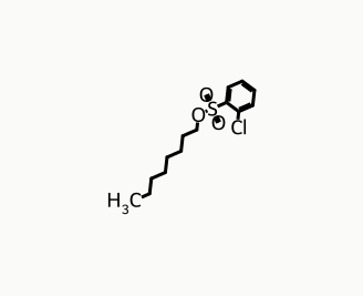 CCCCCCCCOS(=O)(=O)c1ccccc1Cl